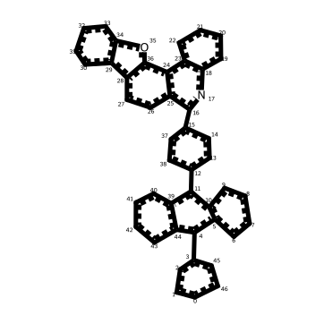 c1ccc(-c2c3ccccc3c(-c3ccc(-c4nc5ccccc5c5c4ccc4c6ccccc6oc45)cc3)c3ccccc23)cc1